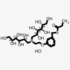 CCC(=O)SCc1cccc(OCCN(C[C@@H](O)[C@@H](O)[C@H](O)[C@H](O)CO)C[C@@H](O)[C@@H](O)[C@H](O)[C@H](O)CO)c1.Cl